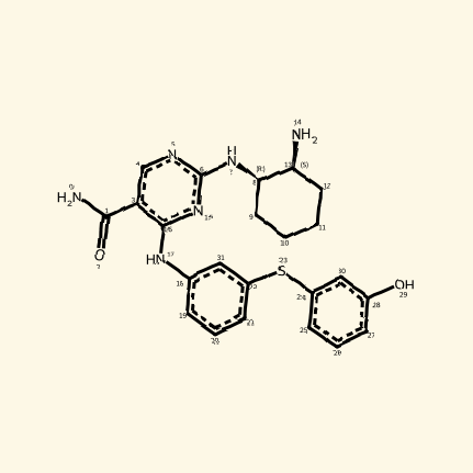 NC(=O)c1cnc(N[C@@H]2CCCC[C@@H]2N)nc1Nc1cccc(Sc2cccc(O)c2)c1